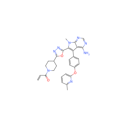 C=CC(=O)N1CCC(c2nnc(-c3c(-c4ccc(Oc5cccc(C)n5)cc4)c4c(N)ncnc4n3C)o2)CC1